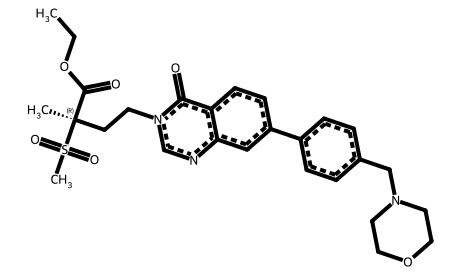 CCOC(=O)[C@@](C)(CCn1cnc2cc(-c3ccc(CN4CCOCC4)cc3)ccc2c1=O)S(C)(=O)=O